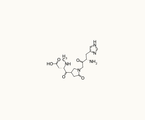 CN[C@@H](CC(=O)O)C(=O)C1CC(=O)N(CC(=O)[C@@H](N)Cc2c[nH]cn2)C1